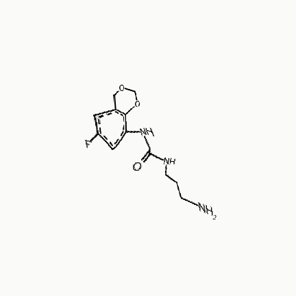 NCCCNC(=O)Nc1cc(F)cc2c1OCOC2